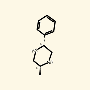 C[C@H]1CN[C@H](c2ccccc2)CN1